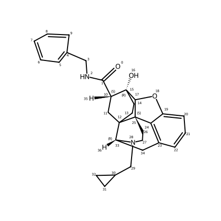 O=C(NCc1ccccc1)[C@H]1CC23CC[C@]1(O)C1Oc4cccc5c4[C@@]12CCN(CC1CC1)[C@@H]3C5